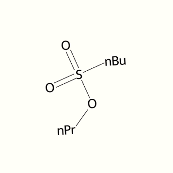 CCCCS(=O)(=O)OCCC